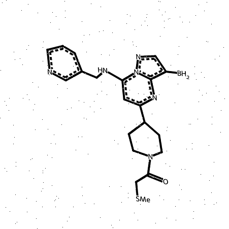 Bc1cnn2c(NCc3cccnc3)cc(C3CCN(C(=O)CSC)CC3)nc12